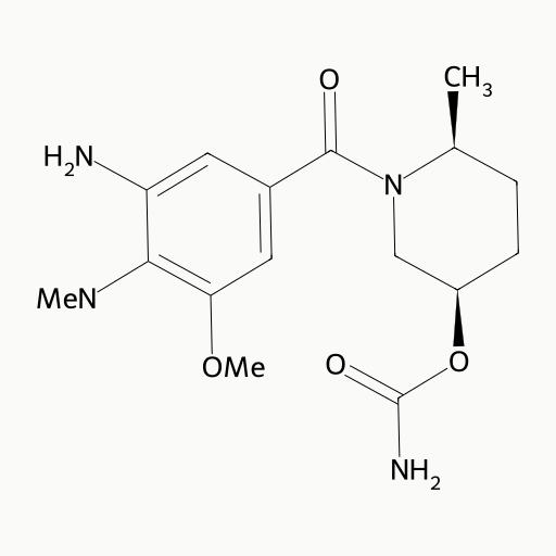 CNc1c(N)cc(C(=O)N2C[C@H](OC(N)=O)CC[C@@H]2C)cc1OC